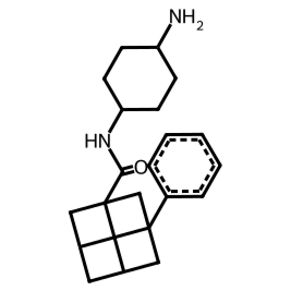 NC1CCC(NC(=O)C23CC4CC5CC(c6ccccc6)(C2)C453)CC1